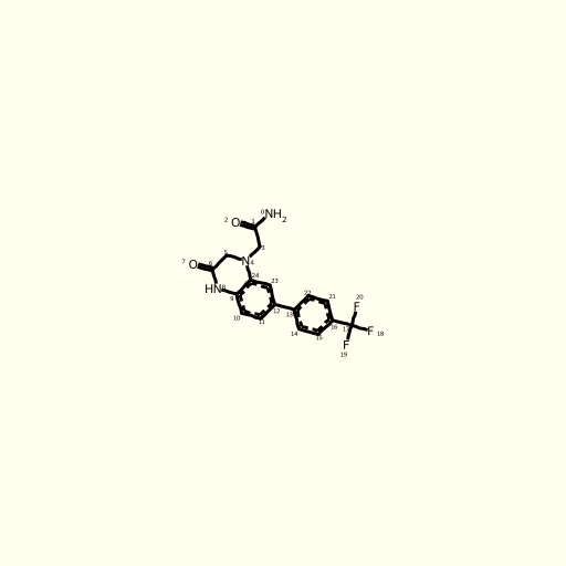 NC(=O)CN1CC(=O)Nc2ccc(-c3ccc(C(F)(F)F)cc3)cc21